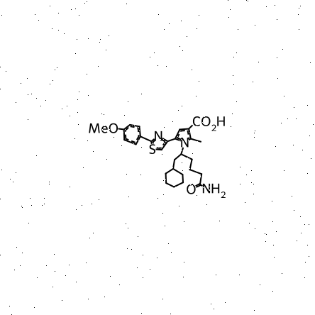 COc1ccc(-c2nc(-c3cc(C(=O)O)c(C)n3C(CCCC(N)=O)CC3CCCCC3)cs2)cc1